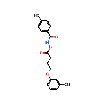 N#Cc1ccc(C(=O)NOC(=O)CCCOc2cccc(C#N)c2)cc1